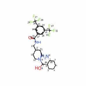 N[C@@H]1CCCC[C@H]1C(O)N1CCC(CNC(=O)c2cc(C(F)(F)F)cc(C(F)(F)F)c2)CC1